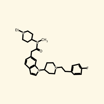 CCN1CCC(N(C)C(=O)Cc2ccc3ccn(C4CCN(CCc5ccc(F)cc5)CC4)c3c2)CC1